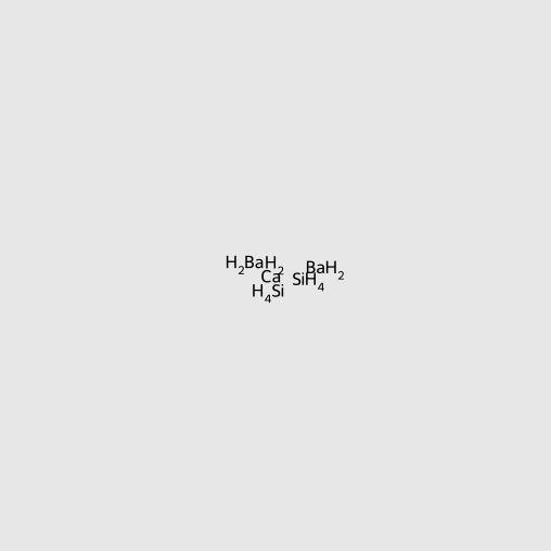 [BaH2].[BaH2].[CaH2].[SiH4].[SiH4]